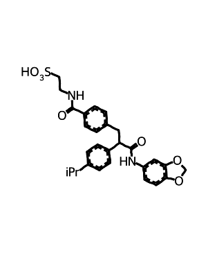 CC(C)c1ccc(C(Cc2ccc(C(=O)NCCS(=O)(=O)O)cc2)C(=O)Nc2ccc3c(c2)OCO3)cc1